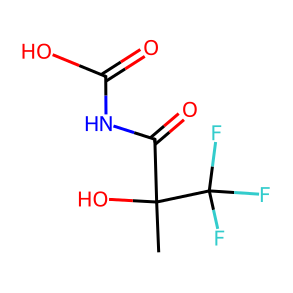 CC(O)(C(=O)NC(=O)O)C(F)(F)F